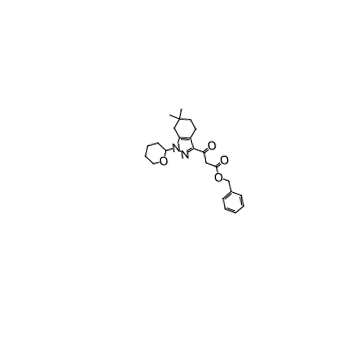 CC1(C)CCc2c(C(=O)CC(=O)OCc3ccccc3)nn(C3CCCCO3)c2C1